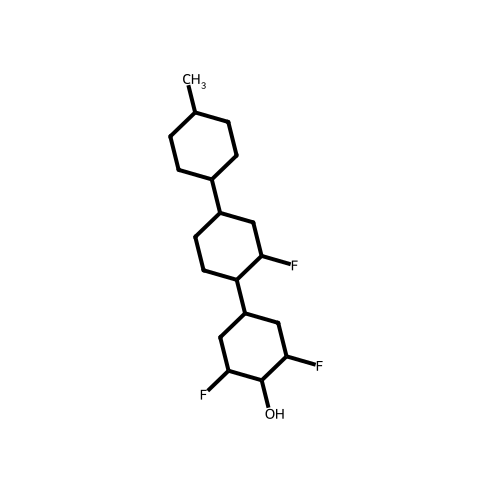 CC1CCC(C2CCC(C3CC(F)C(O)C(F)C3)C(F)C2)CC1